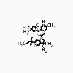 CCCC(F)(F)c1cc2c(cn1)C(C)(C)CN2C(=O)CN1CC(C)NC[C@@H]1CN1CC(C)(C)CC1=O